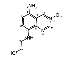 Nc1ccc(NCCO)c2nc[n+]([O-])cc12